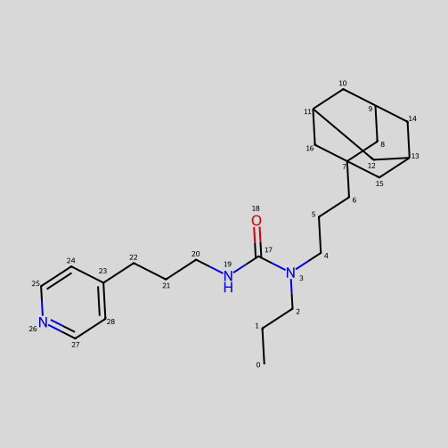 CCCN(CCCC12CC3CC(CC(C3)C1)C2)C(=O)NCCCc1ccncc1